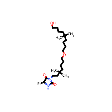 CCC1NC(=O)N(CCC(C)(C)CCCCOCCCCC(C)(C)CCCCO)C1=O